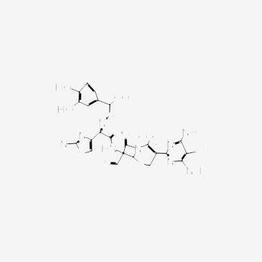 Cc1c(N)nc(C2=C(C(=O)O)N3C(=O)C(C=S)(NC(=O)/C(=N\OC(C(=O)O)c4ccc(O)c(O)c4)c4csc(N)n4)[C@@H]3SC2)nc1N